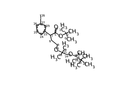 CC(C)(C)OC(=O)C(CCOC(C)(C)CO[Si](C)(C)C(C)(C)C)c1cccc(I)c1